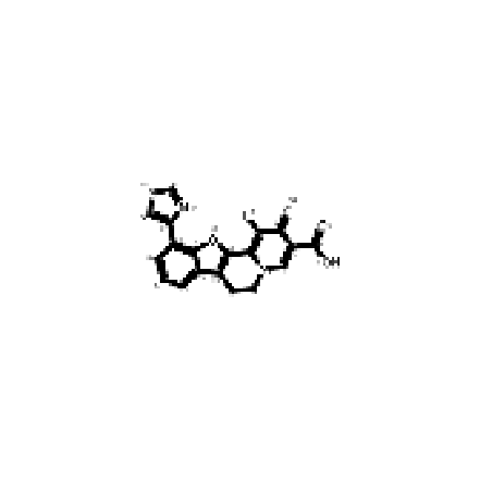 O=C(O)c1cn2c(c(F)c1=O)-c1oc3c(-c4cscn4)cccc3c1CC2